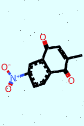 CC1=CC(=O)c2cc([N+](=O)[O-])ccc2C1=O